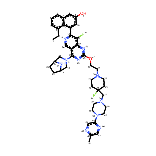 CCc1cccc2cc(O)cc(-c3ncc4c(N5CC6CCC(C5)N6)nc(OCCN5CCC(F)(CN6CCN(c7cnc(C)cn7)CC6)CC5)nc4c3F)c12